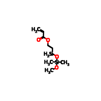 C=CC(=O)OCC[SiH2]O[Si](C)(C)OC